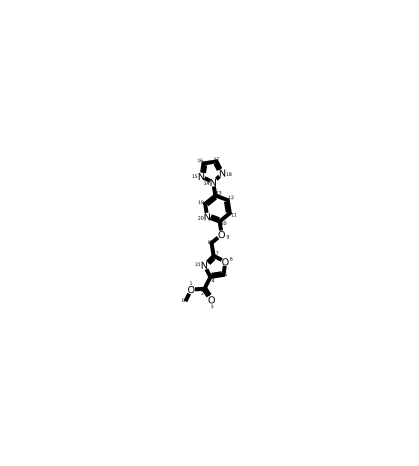 COC(=O)c1coc(COc2ccc(-n3nccn3)cn2)n1